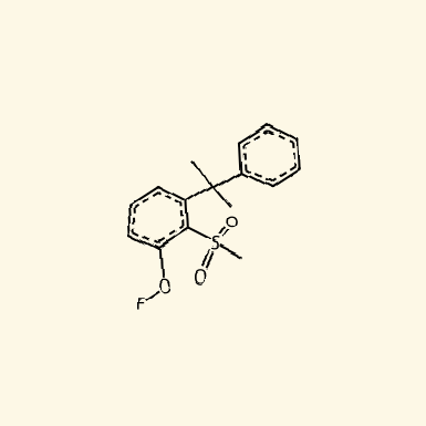 CC(C)(c1ccccc1)c1cccc(OF)c1S(C)(=O)=O